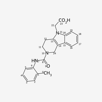 Cc1ccccc1NC(=O)N1CCc2c(c3ccccc3n2CC(=O)O)C1